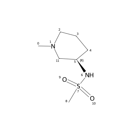 CN1CCC[C@@H](NS(C)(=O)=O)C1